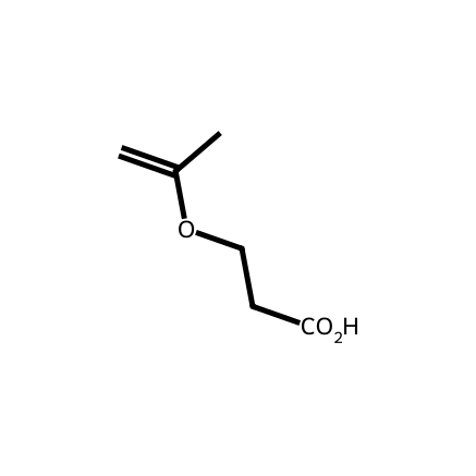 C=C(C)OCCC(=O)O